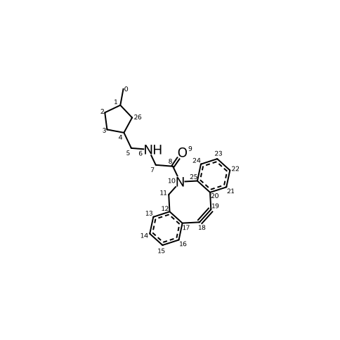 CC1CCC(CNCC(=O)N2Cc3ccccc3C#Cc3ccccc32)C1